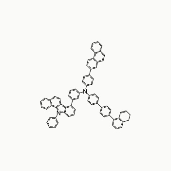 C1=Cc2c(cccc2-c2ccc(-c3ccc(N(c4ccc(-c5ccc6c(ccc7ccccc76)c5)cc4)c4cccc(-c5cccc6c5c5ccc7ccccc7c5n6-c5ccccc5)c4)cc3)cc2)CC1